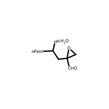 CCCCCC(CCC)CC1(C=O)CO1.O